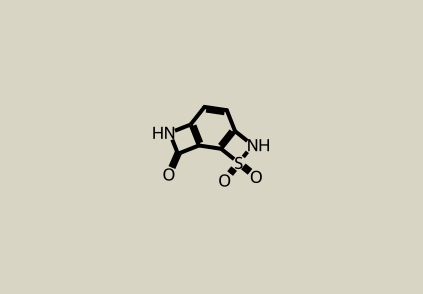 O=C1Nc2ccc3c(c21)S(=O)(=O)N3